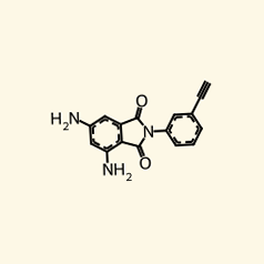 C#Cc1cccc(N2C(=O)c3cc(N)cc(N)c3C2=O)c1